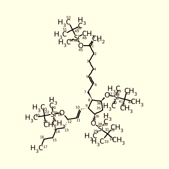 C=C(CCCC=CC[C@@H]1[C@@H](C=C[C@H](CCCCC)O[Si](C)(C)C(C)(C)C)[C@H](O[Si](C)(C)C(C)(C)C)C[C@@H]1O[Si](C)(C)C(C)(C)C)O[Si](C)(C)C(C)(C)C